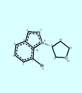 Brc1cccc2cnn([C@@H]3CCOC3)c12